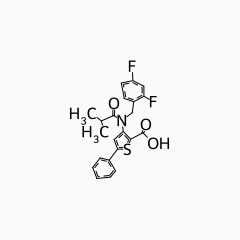 CC(C)C(=O)N(Cc1ccc(F)cc1F)c1cc(-c2ccccc2)sc1C(=O)O